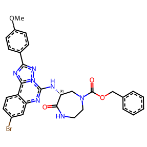 COc1ccc(-c2nc3c4ccc(Br)cc4nc(N[C@@H]4CN(C(=O)OCc5ccccc5)CCNC4=O)n3n2)cc1